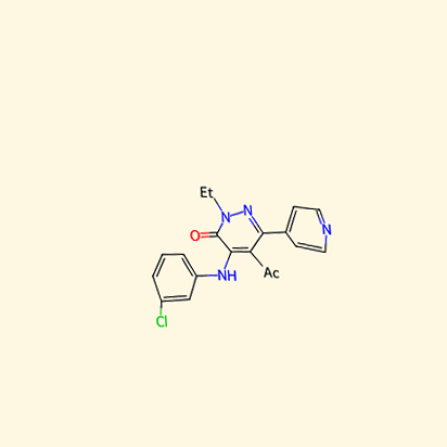 CCn1nc(-c2ccncc2)c(C(C)=O)c(Nc2cccc(Cl)c2)c1=O